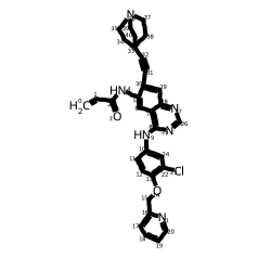 C=CC(=O)Nc1cc2c(Nc3ccc(OCc4ccccn4)c(Cl)c3)ncnc2cc1C#CC12CCN(CC1)CC2